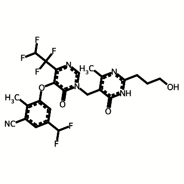 Cc1nc(CCCO)[nH]c(=O)c1Cn1cnc(C(F)(F)C(F)F)c(Oc2cc(C(F)F)cc(C#N)c2C)c1=O